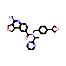 CC(c1ncccn1)N(Cc1ccc(C2COC2)cc1)C(=O)c1ccc2nc(N)c3c(c2c1)COC3